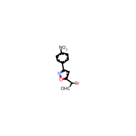 O=CC(Br)c1cc(-c2ccc([N+](=O)[O-])cc2)no1